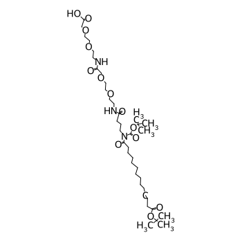 CC(C)(C)OC(=O)CCCCCCCCCCCCC(=O)N(CCCC(=O)NCCOCCOCC(=O)NCCOCCOCC(=O)O)C(=O)OC(C)(C)C